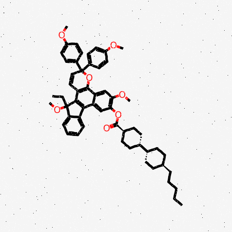 CCCCC[C@H]1CC[C@H]([C@H]2CC[C@H](C(=O)Oc3cc4c5c(c6c(c4cc3OC)OC(c3ccc(OC)cc3)(c3ccc(OC)cc3)C=C6)C(CC)(OC)c3ccccc3-5)CC2)CC1